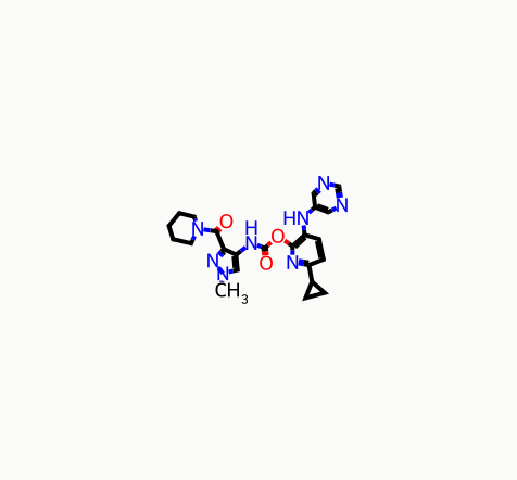 Cn1cc(NC(=O)Oc2nc(C3CC3)ccc2Nc2cncnc2)c(C(=O)N2CCCCC2)n1